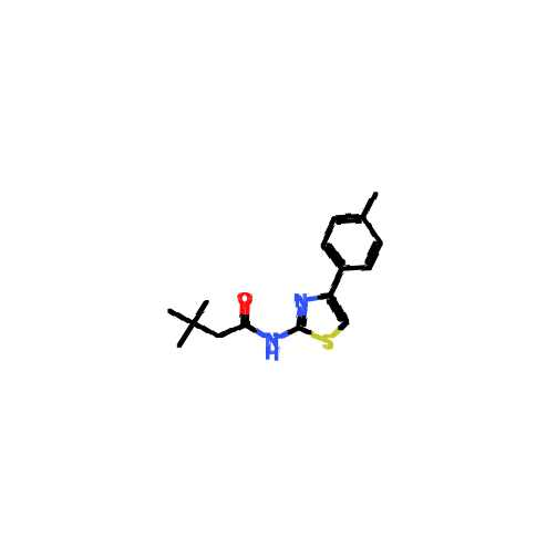 Cc1ccc(-c2csc(NC(=O)CC(C)(C)C)n2)cc1